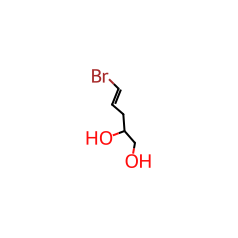 OCC(O)CC=CBr